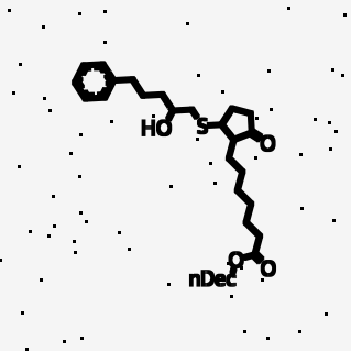 CCCCCCCCCCOC(=O)CCCCCCC1C(=O)CCC1SCC(O)CCCc1ccccc1